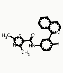 Cc1nc(C)c(C(=O)Nc2ccc(I)c(-c3nccc4ccccc34)c2)s1